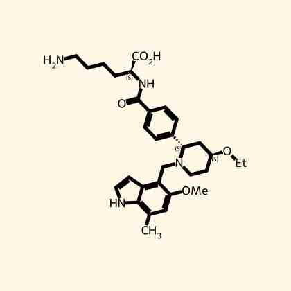 CCO[C@H]1CCN(Cc2c(OC)cc(C)c3[nH]ccc23)[C@H](c2ccc(C(=O)N[C@@H](CCCCN)C(=O)O)cc2)C1